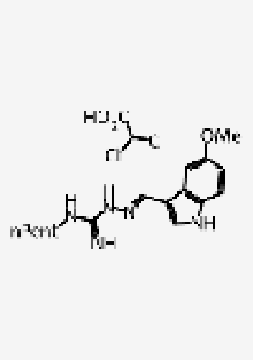 CCCCCNC(=N)N/N=C/c1c[nH]c2ccc(OC)cc12.O=C(O)C(Cl)Cl